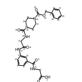 O=C(O)CNC(=O)c1cccc(NC(=O)CNC(=O)N2CCN(C(=O)OCc3ccccc3)CC2)c1